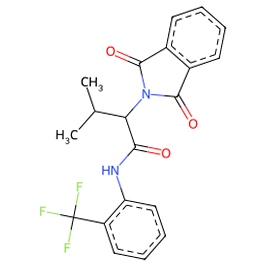 CC(C)C(C(=O)Nc1ccccc1C(F)(F)F)N1C(=O)c2ccccc2C1=O